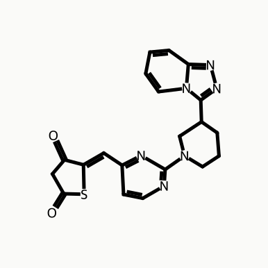 O=C1CC(=O)/C(=C/c2ccnc(N3CCCC(c4nnc5ccccn45)C3)n2)S1